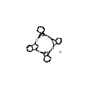 [Tc].c1ccc2c(c1)-c1nc-2nc2[nH]c(nc3nc(nc4[nH]c(n1)c1ccccc41)-c1ccccc1-3)c1ccccc21